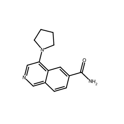 NC(=O)c1ccc2cncc(N3CCCC3)c2c1